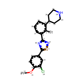 CCc1c(-c2nsc(-c3ccc(OC(C)C)c(Cl)c3)n2)cccc1C1CCNCC1